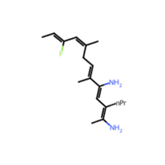 C/C=C(F)/C=C(/C)C/C=C(C)/C(N)=C/C(CCC)=C(\C)N